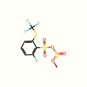 CO[PH](=O)OS(=O)(=O)c1c(F)cccc1SC(F)(F)F